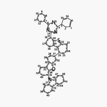 C1=CCC(c2nc(-c3ccccc3)nc(-c3cccc4c3sc3cccc(-c5ccc6c(c5)oc5c(-n7c8ccccc8c8ccccc87)cccc56)c34)n2)C=C1